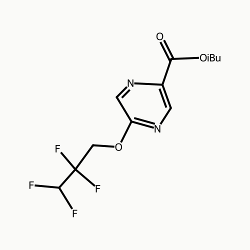 CC(C)COC(=O)c1cnc(OCC(F)(F)C(F)F)cn1